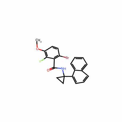 COc1ccc(Br)c(C(=O)NC2(c3cccc4ccccc34)CC2)c1F